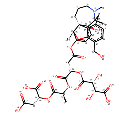 C[C@H](OC(=O)[C@H](CC(=O)OC1=CC[C@@]2(O)[C@H]3Cc4ccc(CO)c5c4[C@@]2(CCCN3C)[C@H]1O5)OC(=O)[C@H](O)[C@@H](O)C(=O)O)C(=O)O[C@H](CC(=O)O)C(=O)O